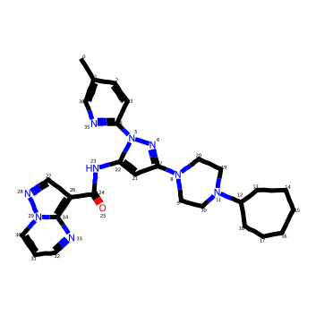 Cc1ccc(-n2nc(N3CCN(C4CCCCCC4)CC3)cc2NC(=O)c2cnn3cccnc23)nc1